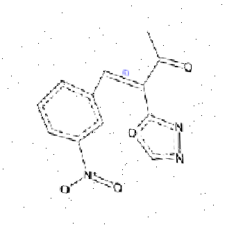 CC(=O)/C(=C/c1cccc([N+](=O)[O-])c1)c1nnco1